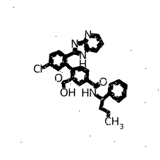 CCCC(NC(=O)c1ccc(-c2cc(Cl)ccc2-c2nc3ncccc3[nH]2)c(C(=O)O)c1)c1ccccc1